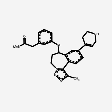 CNC(=O)Cc1cccc(NC2CCn3nnc(C)c3-c3ccc(C4=CCNCC4)cc32)c1